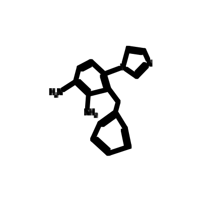 Nc1ccc(-n2ccnc2)c(Cc2ccccc2)c1N